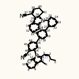 CC/C=C\c1c(C)c2ccccc2n1-c1cc(-c2ccc(-c3ccccc3-n3c4c(c5ccccc53)C(C#N)=CCC4)cc2)ccc1C#N